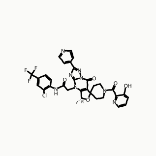 C[C@H]1OC2(CCN(C(=O)c3ncccc3O)CC2)c2c1n(CC(=O)Nc1ccc(C(F)(F)F)cc1Cl)c1nc(-c3ccncc3)nn1c2=O